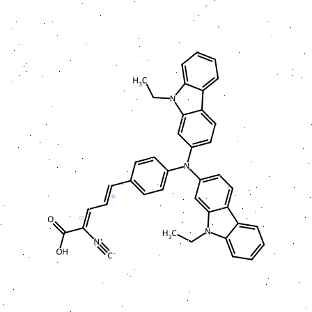 [C-]#[N+]/C(=C\C=C\c1ccc(N(c2ccc3c4ccccc4n(CC)c3c2)c2ccc3c4ccccc4n(CC)c3c2)cc1)C(=O)O